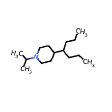 CCCC(CCC)C1CCN(C(C)C)CC1